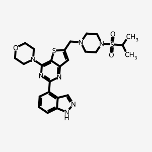 CC(C)S(=O)(=O)N1CCN(Cc2cc3nc(-c4cccc5[nH]ncc45)nc(N4CCOCC4)c3s2)CC1